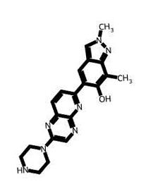 Cc1c(O)c(-c2ccc3nc(N4CCNCC4)cnc3n2)cc2cn(C)nc12